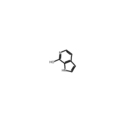 Oc1nccc2cc[nH]c12